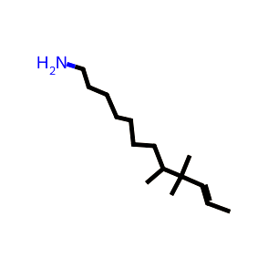 CC=CC(C)(C)C(C)CCCCCCCN